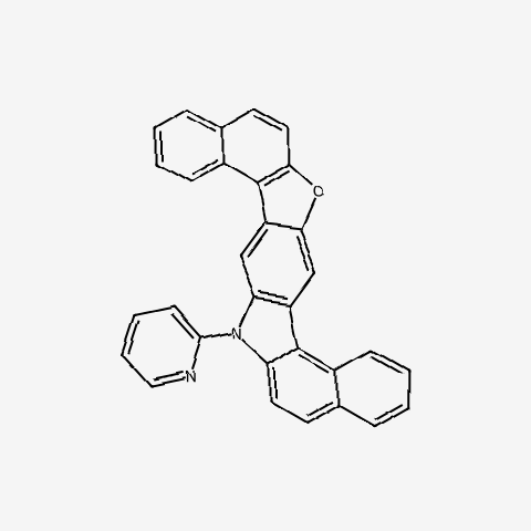 c1ccc(-n2c3cc4c(cc3c3c5ccccc5ccc32)oc2ccc3ccccc3c24)nc1